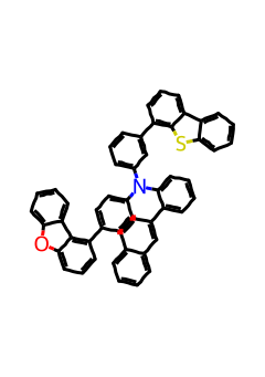 c1cc(-c2cccc3c2sc2ccccc23)cc(N(c2ccc(-c3cccc4oc5ccccc5c34)cc2)c2ccccc2-c2ccc3ccccc3c2)c1